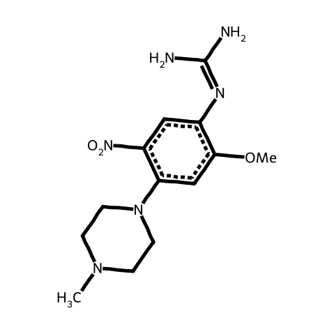 COc1cc(N2CCN(C)CC2)c([N+](=O)[O-])cc1N=C(N)N